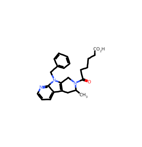 CC1Cc2c(n(Cc3ccccc3)c3ncccc23)CN1C(=O)CCCCC(=O)O